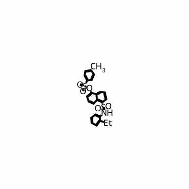 CCc1ccccc1NS(=O)(=O)c1cccc2c(OS(=O)(=O)c3ccc(C)cc3)cccc12